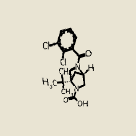 CC(C)(C)[C@]12C[C@@H](CN1C(=O)O)N(C(=O)c1cccc(Cl)c1Cl)C2